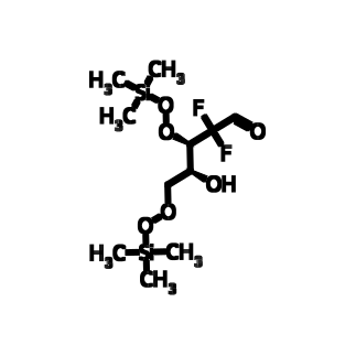 C[Si](C)(C)OOC[C@H](O)[C@@H](OO[Si](C)(C)C)C(F)(F)C=O